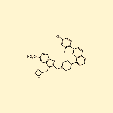 O=C(O)c1ccc2nc(CN3CCC(c4cccc5c4OC(c4ncc(Cl)cc4F)C=C5)CC3)n(CC3CCO3)c2c1